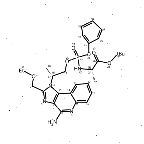 CCOCc1nc2c(N)nc3ccccc3c2n1[C@H](C)COP(=O)(N[C@@H](C)C(=O)OC(C)(C)C)Oc1ccccc1